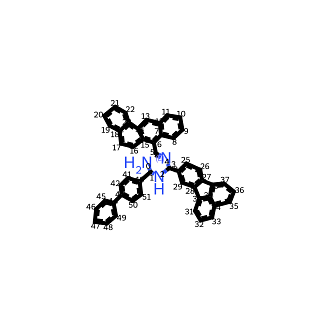 NC(NC(/N=C/c1c2ccccc2cc2c1ccc1ccccc12)c1ccc2c(c1)-c1cccc3cccc-2c13)c1ccc(-c2ccccc2)cc1